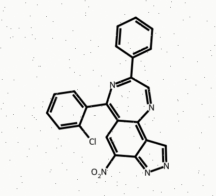 O=[N+]([O-])c1cc2c(-c3ccccc3Cl)nc(-c3ccccc3)cnc2c2cnnc12